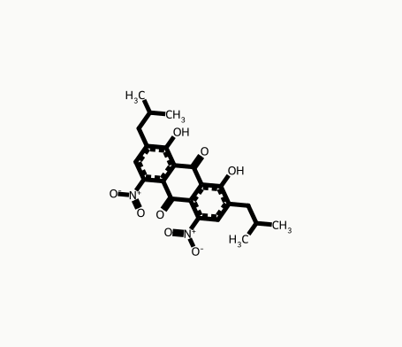 CC(C)Cc1cc([N+](=O)[O-])c2c(c1O)C(=O)c1c(O)c(CC(C)C)cc([N+](=O)[O-])c1C2=O